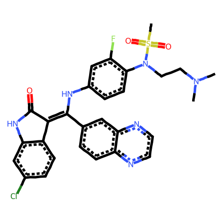 CN(C)CCN(c1ccc(N/C(=C2\C(=O)Nc3cc(Cl)ccc32)c2ccc3nccnc3c2)cc1F)S(C)(=O)=O